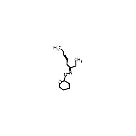 CCC=CCC(CC)=NOC1CCCCO1